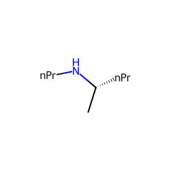 CCCN[C@@H](C)CCC